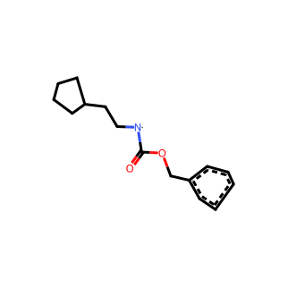 O=C([N]CCC1CCCC1)OCc1ccccc1